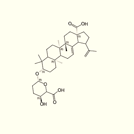 C=C(C)C1CC[C@]2(C(=O)O)CC[C@]3(C)C(=CCC4[C@@]5(C)CC[C@H](O[C@H]6CC[C@H](O)C(C(=O)O)O6)C(C)(C)C5CC[C@]43C)C12